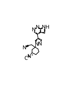 [C-]#[N+]C1CCCC(CC#N)(n2cc(-c3cnnc4[nH]ccc34)cn2)C1